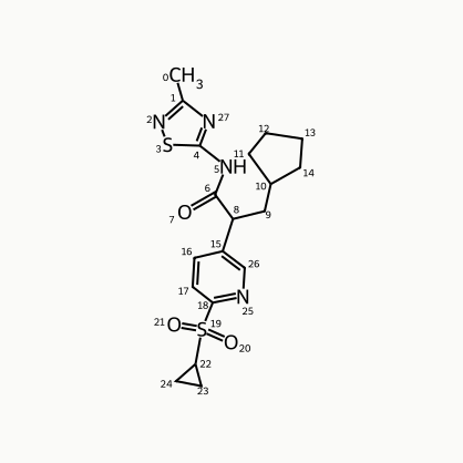 Cc1nsc(NC(=O)C(CC2CCCC2)c2ccc(S(=O)(=O)C3CC3)nc2)n1